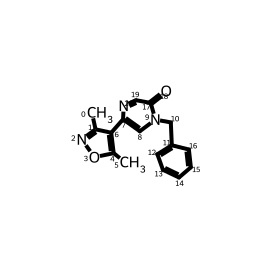 Cc1noc(C)c1-c1cn(Cc2ccccc2)c(=O)cn1